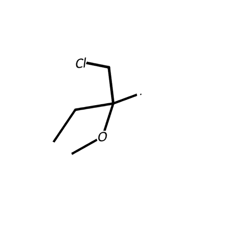 [CH2]C(CC)(CCl)OC